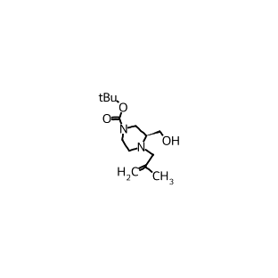 C=C(C)CN1CCN(C(=O)OC(C)(C)C)C[C@H]1CO